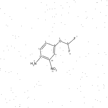 Nc1ccc(OC(F)F)cc1[N+](=O)[O-]